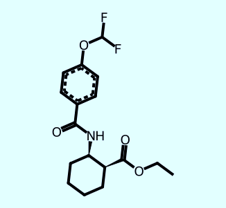 CCOC(=O)[C@H]1CCCC[C@H]1NC(=O)c1ccc(OC(F)F)cc1